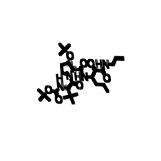 C=CCNC(=O)C(=O)C(CCC)NC(=O)[C@@H]1[C@@H](OC(C)(C)C)CCN1C(=O)[C@@H](NC(=O)OC(C)(C)C)C(C)(C)C